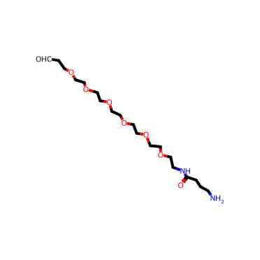 NCCCC(=O)NCCOCCOCCOCCOCCOCCOCCC=O